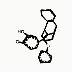 Oc1cc(/C(Oc2ccccc2)=C2/C3CCCC2C2=C(CCCC2)C3)ccc1Cl